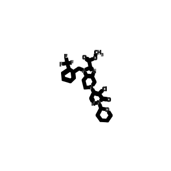 COC(=O)c1nc2c(n1Cc1ccccc1C(F)(F)F)CCN(c1cnn(C3CCCCO3)c(=O)c1Cl)C2